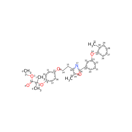 CCOC(=O)C(C)(C)Oc1ccc(OCCc2nc(-c3cccc(Oc4ccccc4C)c3)oc2C)cc1